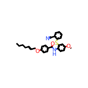 CCCCC=CCOc1ccc(C(=O)Nc2ccc(OC)cc2Sc2ccccc2C#N)cc1